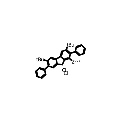 CC(C)(C)c1cc2c(cc1-c1ccccc1)Cc1c-2cc(C(C)(C)C)c(-c2ccccc2)[c]1[Zr+2].[Cl-].[Cl-]